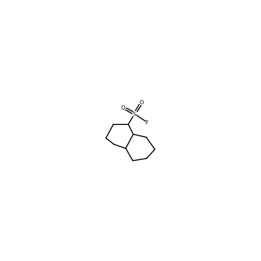 O=S(=O)(F)C1CCCC2CCCCC21